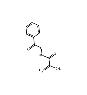 C=C(C)C(=O)NOC(=O)c1ccccc1